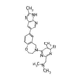 CCc1nc(CN(C)C)nc(N2CCOc3ccc(-c4cnc5[nH]c(C)nc5c4)cc3C2)c1C